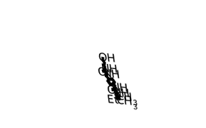 CCC(C)(C)CNC(=O)Nc1ccc(CNC(=O)NCCCO)cc1